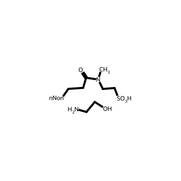 CCCCCCCCCCCC(=O)N(C)CCS(=O)(=O)O.NCCO